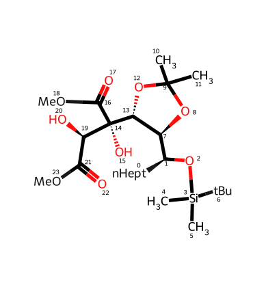 CCCCCCC[C@H](O[Si](C)(C)C(C)(C)C)[C@@H]1OC(C)(C)O[C@H]1[C@](O)(C(=O)OC)[C@H](O)C(=O)OC